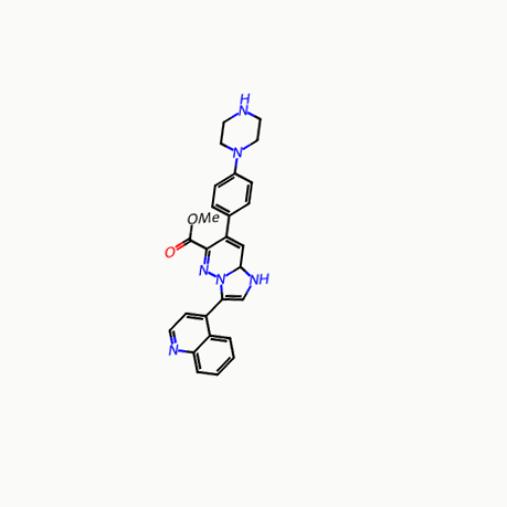 COC(=O)C1=NN2C(c3ccnc4ccccc34)=CNC2C=C1c1ccc(N2CCNCC2)cc1